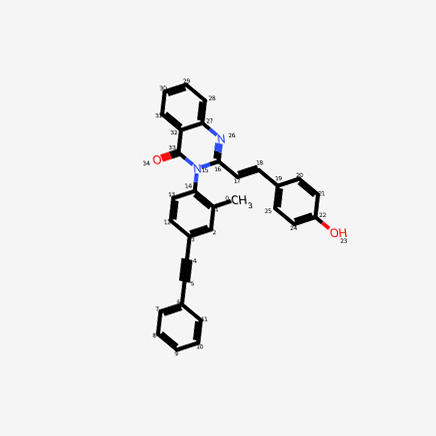 Cc1cc(C#Cc2ccccc2)ccc1-n1c(/C=C/c2ccc(O)cc2)nc2ccccc2c1=O